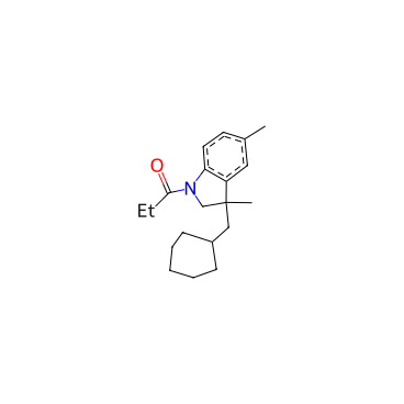 CCC(=O)N1CC(C)(CC2CCCCC2)c2cc(C)ccc21